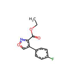 CCOC(=O)c1nocc1-c1ccc(F)cc1